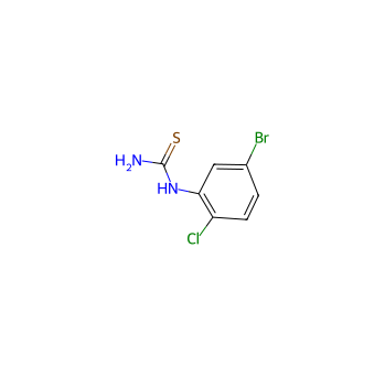 NC(=S)Nc1cc(Br)ccc1Cl